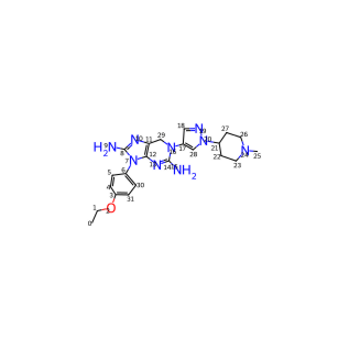 CCOc1ccc(-n2c(N)nc3c2N=C(N)N(c2cnn(C4CCN(C)CC4)c2)C3)cc1